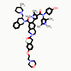 Cc1c(N(C(=O)c2cc(-c3cc4c(cc3C(=O)N3Cc5ccccc5C[C@H]3CN3CCC[C@H](C)C3)CN(C(=O)Cc3ccc(OCCN5CCOCC5)cc3F)CC4)n(C)c2C)c2ccc(O)cc2)cc(C#N)n1C